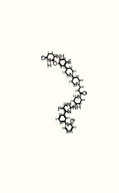 O=C1CCC(Nc2ccc(C3CCN(C4CCN(CCC(=O)N5CCC(Nc6ncc(F)c(-c7cccc(-n8ccccc8=O)c7)n6)CC5)CC4)CC3)c(F)c2)C(=O)N1